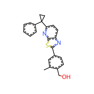 Cc1cc(-c2nc3ccc(C4(c5ccccc5)CC4)nc3s2)ccc1CO